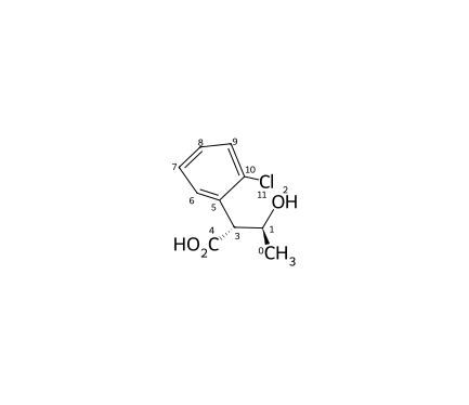 C[C@H](O)[C@H](C(=O)O)c1ccccc1Cl